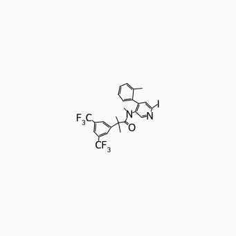 Cc1ccccc1-c1cc(I)ncc1N(C)C(=O)C(C)(C)c1cc(C(F)(F)F)cc(C(F)(F)F)c1